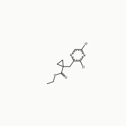 CCOC(=O)C1(Cc2ncc(Cl)nc2Cl)CC1